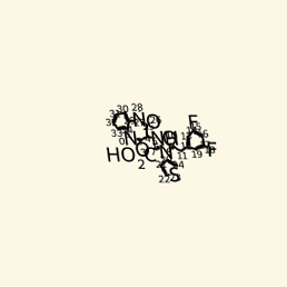 CN1C(=O)C(NC(C(=O)O)N(C(=O)Cc2cc(F)cc(F)c2)c2ccsc2)C(=O)N(C)c2ccccc21